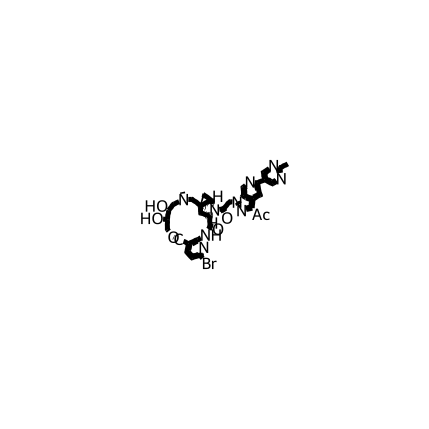 CC(=O)c1nn(CC(=O)N2[C@H]3C[C@]4(C[C@@H]24)CN(C)CC(O)C(O)COCc2ccc(Br)nc2NC3=O)c2cnc(-c3cnc(C)nc3)cc12